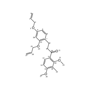 C=CCOc1ccc(CCC(=O)c2ccc(OC)c(C)c2OC)c(OCC=C)c1